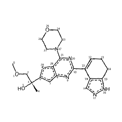 COC[C@@](C)(O)c1cc2nc(C3=CCCc4[nH]ncc43)nc(N3CCOCC3)c2s1